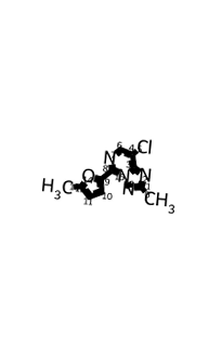 Cc1nc2c(Cl)cnc(-c3ccc(C)o3)n2n1